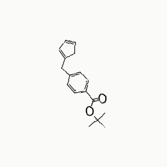 CC(C)(C)OC(=O)c1ccc(CC2=CC=CC2)cc1